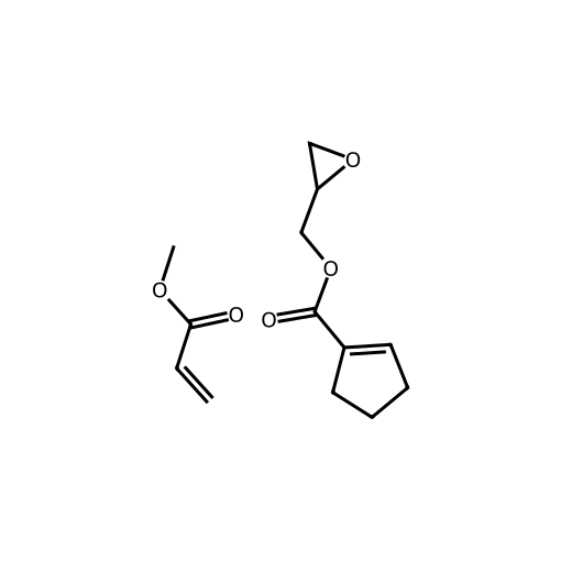 C=CC(=O)OC.O=C(OCC1CO1)C1=CCCC1